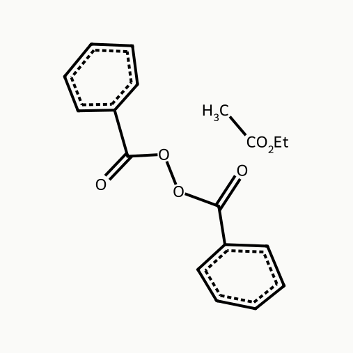 CCOC(C)=O.O=C(OOC(=O)c1ccccc1)c1ccccc1